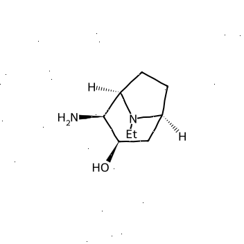 CCN1[C@H]2CC[C@@H]1[C@H](N)[C@H](O)C2